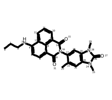 CCCNc1ccc2c3c(cccc13)C(=O)N(c1cc3c(cc1C)n(C)c(=O)n3C)C2=O